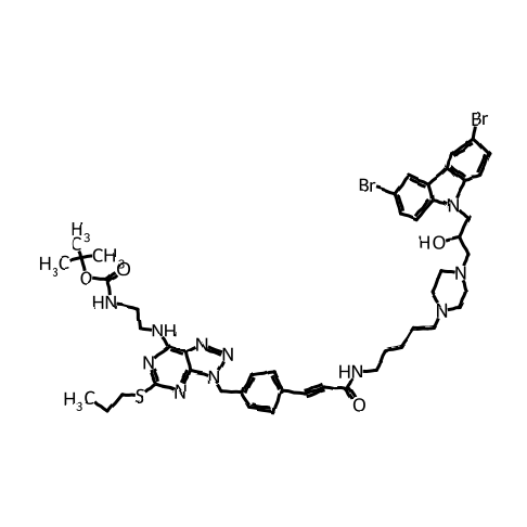 CCCSc1nc(NCCNC(=O)OC(C)(C)C)c2nnn(Cc3ccc(C#CC(=O)NCCCCCN4CCN(CC(O)Cn5c6ccc(Br)cc6c6cc(Br)ccc65)CC4)cc3)c2n1